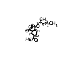 CCCCC(C)COC(=O)c1ccc(C(=O)O)cc1C(=O)O